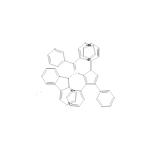 C1=C(c2ccccc2)C(c2ccccc2)=[C]([Zr+2](=[C](c2ccccc2)c2ccccc2)[CH]2c3ccccc3-c3ccccc32)C1c1ccccc1.[Cl-].[Cl-]